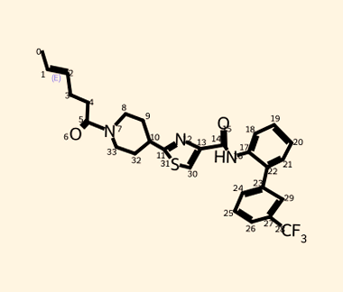 C/C=C/CCC(=O)N1CCC(c2nc(C(=O)Nc3ccccc3-c3cccc(C(F)(F)F)c3)cs2)CC1